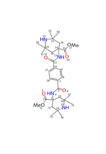 COC(=O)C1(NC(=O)c2ccc(C(=O)NC3(C(=O)OC)CC(C)(C)NC(C)(C)C3)cc2)CC(C)(C)NC(C)(C)C1